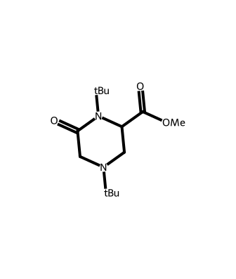 COC(=O)C1CN(C(C)(C)C)CC(=O)N1C(C)(C)C